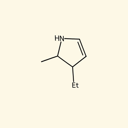 CCC1C=CNC1C